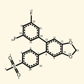 CS(=O)(=O)c1ccc(-c2cc3c(cc2-c2cc(F)cc(F)c2)OCO3)cc1